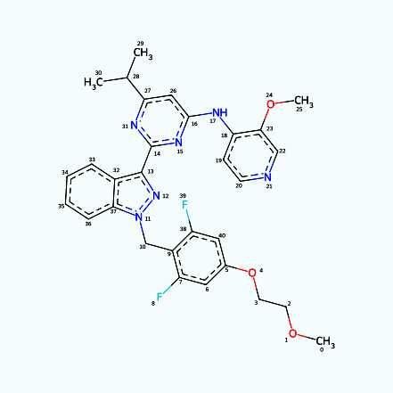 COCCOc1cc(F)c(Cn2nc(-c3nc(Nc4ccncc4OC)cc(C(C)C)n3)c3ccccc32)c(F)c1